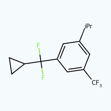 CC(C)c1cc(C(F)(F)F)cc(C(F)(F)C2CC2)c1